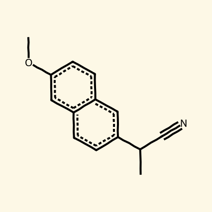 COc1ccc2cc(C(C)C#N)ccc2c1